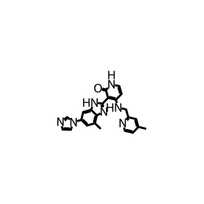 Cc1ccnc(CNc2cc[nH]c(=O)c2-c2nc3c(C)cc(-n4ccnc4)cc3[nH]2)c1